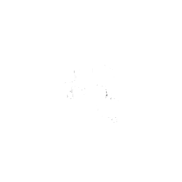 CS(=O)(=O)O[C@@H]1CCCC[C@H]1N1CCOCC1